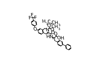 CC(C)(C)OC(=O)N1Cc2cc(Oc3ccc(C(F)(F)F)cc3)ccc2C[C@@H]1C(=O)N[C@H](Cc1ccc(-c2ccccc2)cc1)C(=O)O